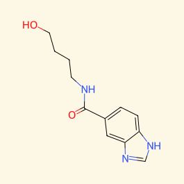 O=C(NCCCCO)c1ccc2[nH]cnc2c1